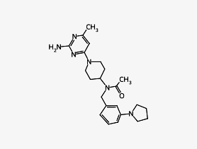 CC(=O)N(Cc1cccc(N2CCCC2)c1)C1CCN(c2cc(C)nc(N)n2)CC1